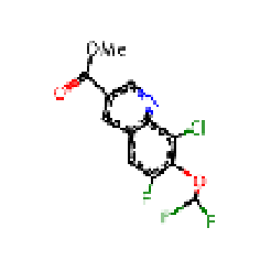 COC(=O)c1cnc2c(Cl)c(OC(F)F)c(F)cc2c1